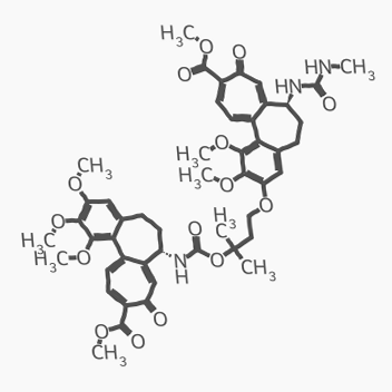 CNC(=O)N[C@H]1CCc2cc(OCCC(C)(C)OC(=O)N[C@H]3CCc4cc(OC)c(OC)c(OC)c4-c4ccc(C(=O)OC)c(=O)cc43)c(OC)c(OC)c2-c2ccc(C(=O)OC)c(=O)cc21